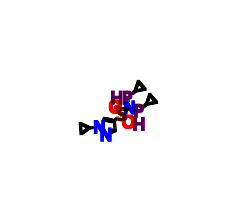 O=S(=O)(c1cnn(C2CC2)c1)N(PC1CC1)PC1CC1